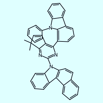 CC1(C)C=Cc2c(-c3cccc4c5ccccc5n(-c5ccccc5)c34)nc(-n3c4ccccc4c4c5ccccc5ccc43)nc21